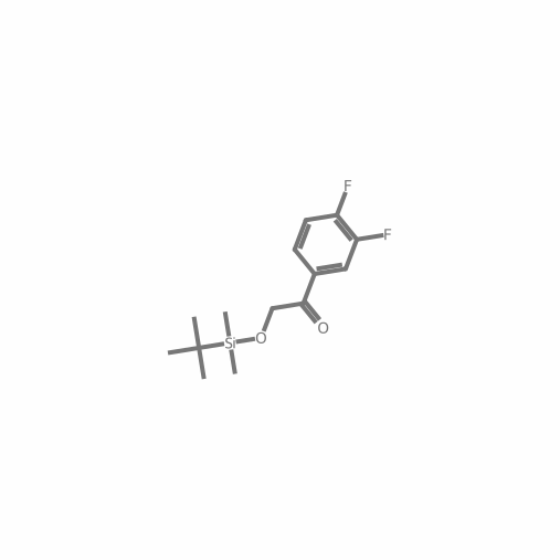 CC(C)(C)[Si](C)(C)OCC(=O)c1ccc(F)c(F)c1